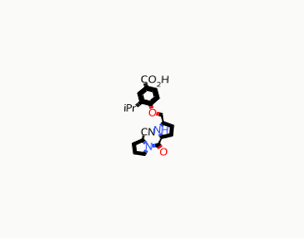 CC(C)c1cc(C(=O)O)ccc1OC[C@H]1CC[C@@H](C(=O)N2CCC[C@H]2C#N)N1